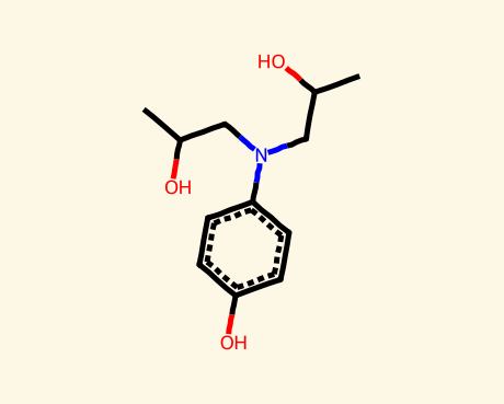 CC(O)CN(CC(C)O)c1ccc(O)cc1